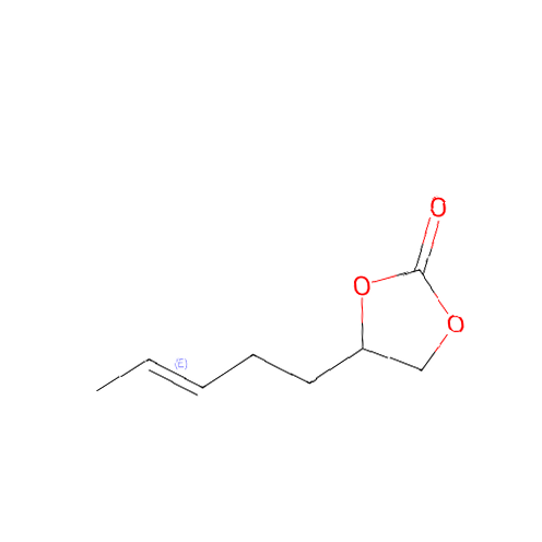 C/C=C/CCC1COC(=O)O1